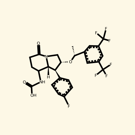 C[C@@H](O[C@H]1CN2C(=O)CCC(NC(=O)O)[C@H]2[C@@H]1c1ccc(F)cc1)c1cc(C(F)(F)F)cc(C(F)(F)F)c1